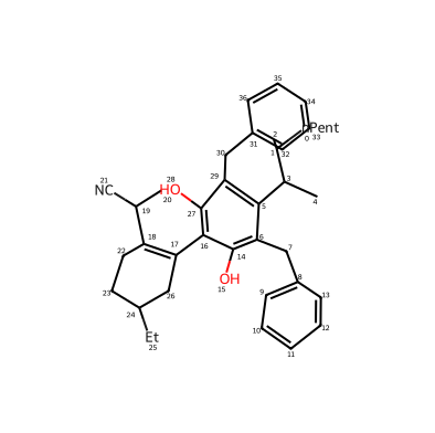 CCCCCC(C)C(C)c1c(Cc2ccccc2)c(O)c(C2=C(C(C)C#N)CCC(CC)C2)c(O)c1Cc1ccccc1